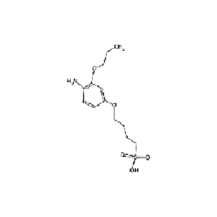 CCCOc1cc(OCCCCS(=O)(=O)O)ccc1N